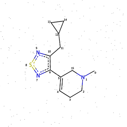 CN1CCC=C(c2nsnc2CC2CC2)C1